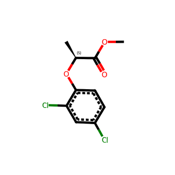 COC(=O)[C@H](C)Oc1ccc(Cl)cc1Cl